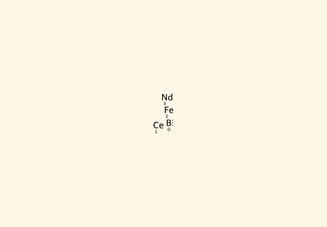 [B].[Ce].[Fe].[Nd]